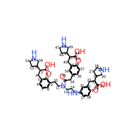 O=C(O)C(Cc1cccc(CCN(CCNc2cccc(CC(C(=O)O)C3CCNC3)c2)C(=O)Cc2cccc(CC(C(=O)O)C3CCNC3)c2)c1)C1CCNC1